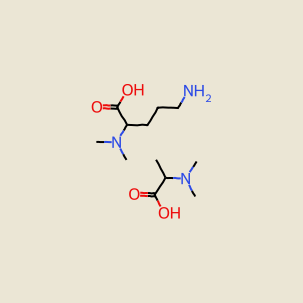 CC(C(=O)O)N(C)C.CN(C)C(CCCN)C(=O)O